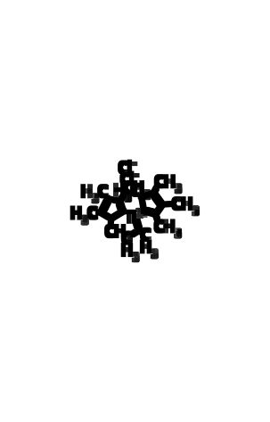 CC1=C(C)C(C)[C]([Ti+2]([C]2=C(C)C(C)=C(C)C2C)=[C](C)C)=C1C.[Cl-].[Cl-]